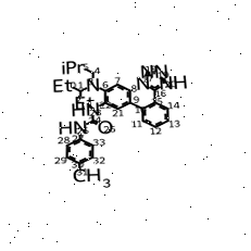 CCC(CC)N(CC(C)C)c1ccc(-c2ccccc2-c2nnn[nH]2)cc1NC(=O)Nc1ccc(C)cc1